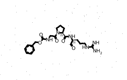 N=C(N)NCCC[C@@H]([C]=O)NC(=O)[C@@H]1CCCN1C(=O)CNC(=O)OCc1ccccc1